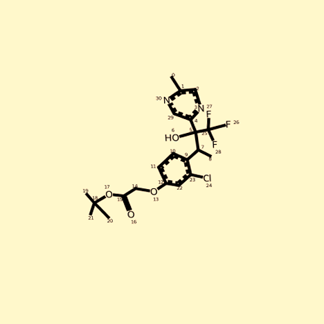 Cc1cnc(C(O)(C(C)c2ccc(OCC(=O)OC(C)(C)C)cc2Cl)C(F)(F)F)cn1